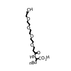 C#CCOCCOCCOCCOCCC(=O)NC(CCCC)C(=O)O